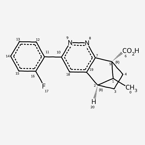 CC1[C@H]2CC[C@]1(C(=O)O)c1nnc(-c3ccccc3F)cc12